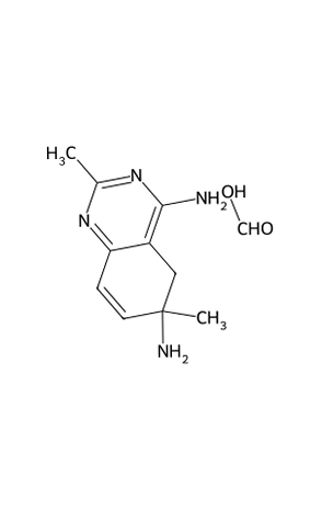 Cc1nc(N)c2c(n1)C=CC(C)(N)C2.O=CO